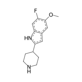 COc1cc2cc(C3CCNCC3)[nH]c2cc1F